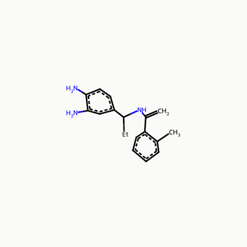 C=C(NC(CC)c1ccc(N)c(N)c1)c1ccccc1C